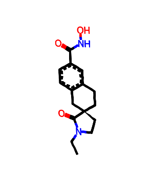 CCN1CC[C@@]2(CCc3cc(C(=O)NO)ccc3C2)C1=O